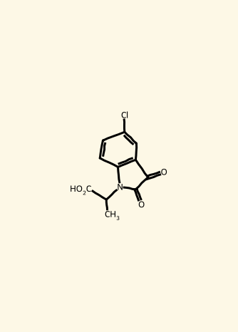 CC(C(=O)O)N1C(=O)C(=O)c2cc(Cl)ccc21